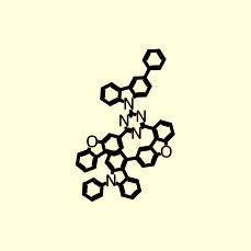 c1ccc(-c2ccc3c(c2)c2ccccc2n3-c2nc(-c3ccc4c(c3)oc3ccccc34)nc(-c3cccc4oc5ccc(-c6cccc7c6c6ccccc6n7-c6ccccc6)cc5c34)n2)cc1